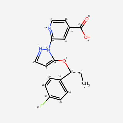 CC[C@@H](Oc1ccnn1-c1cc(C(=O)O)ccn1)c1ccc(F)cc1